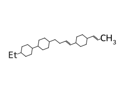 CC=CC1CCC(C=CCCC2CCC(C3CCC(CC)CC3)CC2)CC1